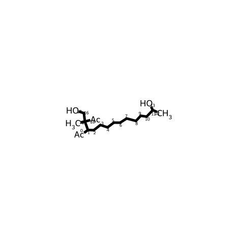 CC(=O)C(CCCCCCCCCC(C)O)C(C)(CO)C(C)=O